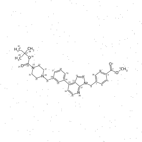 COC(=O)c1ccc(Cn2ccc3c(-c4cccc(CN5CCN(C(=O)OC(C)(C)C)CC5)c4)ccnc32)cc1